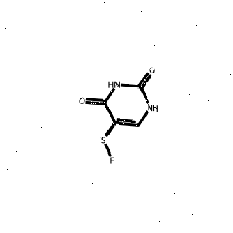 O=c1[nH]cc(SF)c(=O)[nH]1